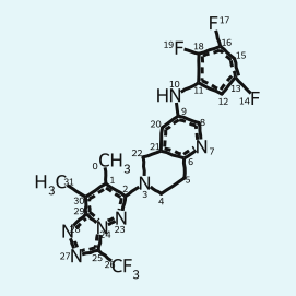 Cc1c(N2CCc3ncc(Nc4cc(F)cc(F)c4F)cc3C2)nn2c(C(F)(F)F)nnc2c1C